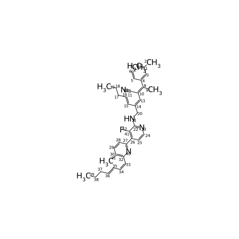 C=C(C)/C=C(\C=C/C)C(/C)=C(C#N)/C=C(\C=C\CCC)CNc1nccc(-c2ccc(C)c(/C=C\C=C\CCC)n2)c1F